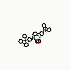 c1ccc(N(c2ccc(C3(c4ccccc4)c4ccccc4-c4ccccc43)cc2)c2cccc3c4cc(-n5c6ccccc6c6ccccc65)ccc4n(-c4ccccc4)c23)cc1